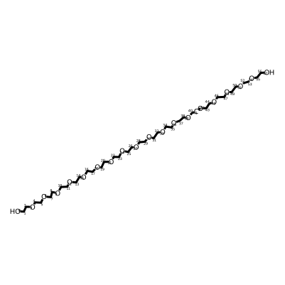 OCCOCCOCCOCCOCCOCCOCCOCCOCCOCCOCCOCCOCCOCCOCCOCCOCCOCCOCCO